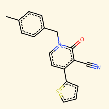 Cc1ccc(Cn2ccc(-c3cccs3)c(C#N)c2=O)cc1